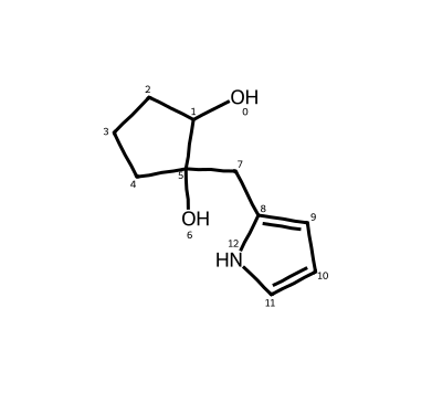 OC1CCCC1(O)Cc1ccc[nH]1